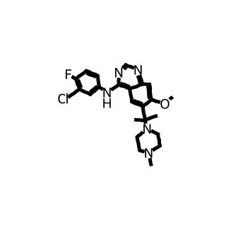 COc1cc2ncnc(Nc3ccc(F)c(Cl)c3)c2cc1C(C)(C)N1CCN(C)CC1